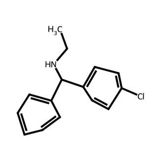 CCNC(c1ccccc1)c1ccc(Cl)cc1